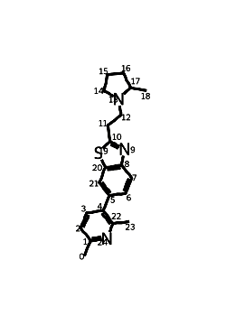 Cc1ccc(-c2ccc3nc(CCN4CCCC4C)sc3c2)c(C)n1